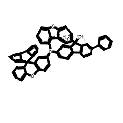 CC1(C)c2cc(-c3ccccc3)ccc2-c2ccc(N(c3ccc4c(c3)C3(c5ccccc5O4)c4ccccc4-c4ccccc43)c3cccc4sc5ccccc5c34)cc21